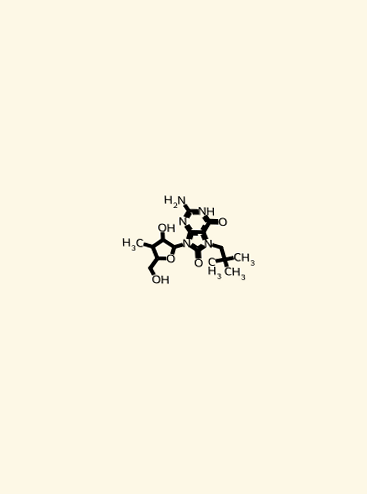 CC1C(CO)OC(n2c(=O)n(CC(C)(C)C)c3c(=O)[nH]c(N)nc32)C1O